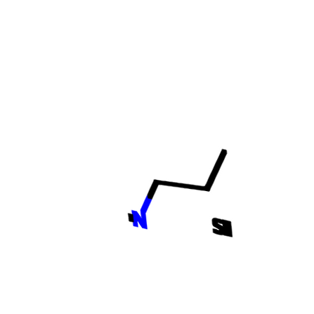 CCC[N].[Si]